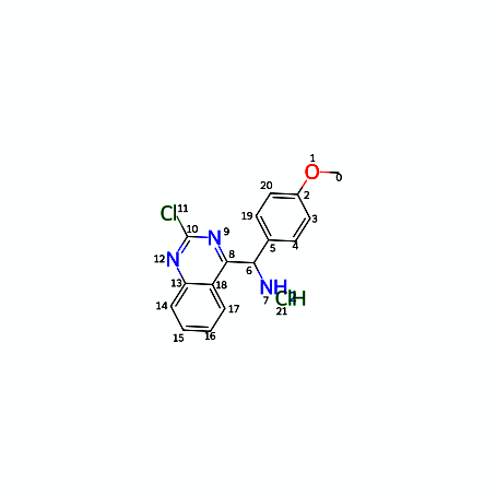 COc1ccc(C(N)c2nc(Cl)nc3ccccc23)cc1.Cl